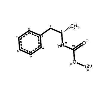 C[C@@H](Cc1ccccc1)NC(=O)OC(C)(C)C